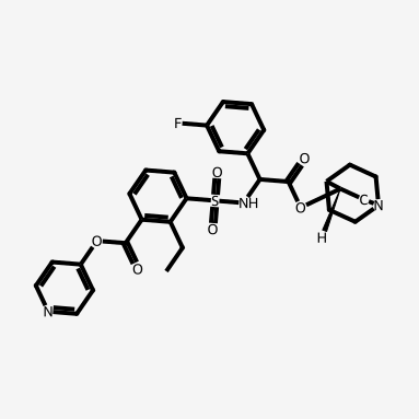 CCc1c(C(=O)Oc2ccncc2)cccc1S(=O)(=O)NC(C(=O)O[C@H]1CN2CCC1CC2)c1cccc(F)c1